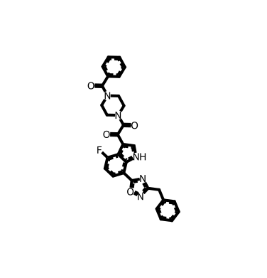 O=C(C(=O)N1CCN(C(=O)c2ccccc2)CC1)c1c[nH]c2c(-c3nc(Cc4ccccc4)no3)ccc(F)c12